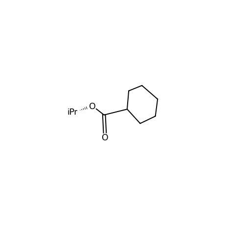 [CH2][C@@H](C)OC(=O)C1CCCCC1